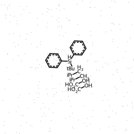 CC(C)(C)[SiH](c1ccccc1)c1ccccc1.CC(C)C.CC(C)C.O=C(O)O.O=C(O)O